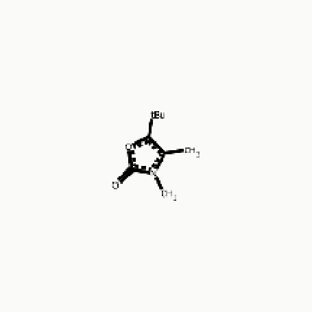 Cc1c(C(C)(C)C)oc(=O)n1C